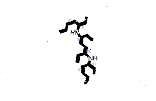 C=C/C=C\C(=C/C)N/C(C=C)=C/C=C(\C=C)NC(/C=C\C=C)=C/C